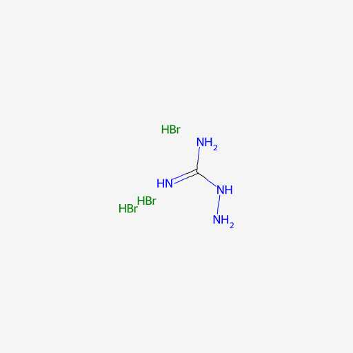 Br.Br.Br.N=C(N)NN